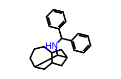 c1ccc(C(NC2C3CCCC4CC2CC4C3)c2ccccc2)cc1